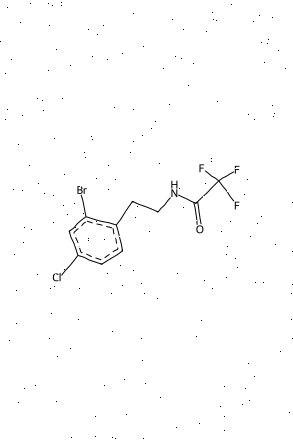 O=C(NCCc1ccc(Cl)cc1Br)C(F)(F)F